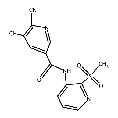 CS(=O)(=O)c1ncccc1NC(=O)c1cnc(C#N)c(Cl)c1